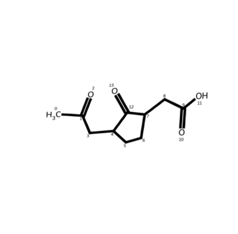 CC(=O)CC1CCC(CC(=O)O)C1=O